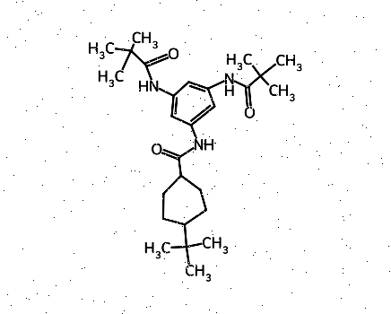 CC(C)(C)C(=O)Nc1cc(NC(=O)C2CCC(C(C)(C)C)CC2)cc(NC(=O)C(C)(C)C)c1